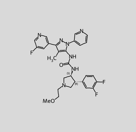 COCCN1C[C@@H](NC(=O)Nc2c(C)c(-c3cncc(F)c3)nn2-c2cccnc2)[C@H](c2ccc(F)c(F)c2)C1